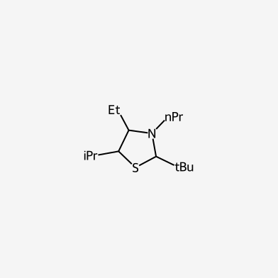 CCCN1C(CC)C(C(C)C)SC1C(C)(C)C